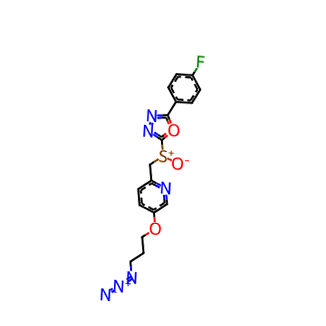 [N-]=[N+]=NCCCOc1ccc(C[S+]([O-])c2nnc(-c3ccc(F)cc3)o2)nc1